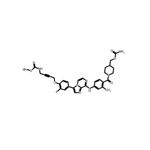 Cc1cc(Nc2nccn3c(-c4ccc(OCC#CCNC(=O)OC(C)(C)C)c(F)c4)cnc23)ccc1C(=O)N1CCC(COC(N)=O)CC1